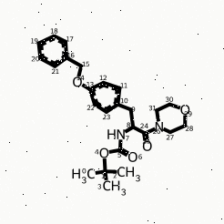 CC(C)(C)OC(=O)NC(Cc1ccc(OCc2ccccc2)cc1)C(=O)N1CCOCC1